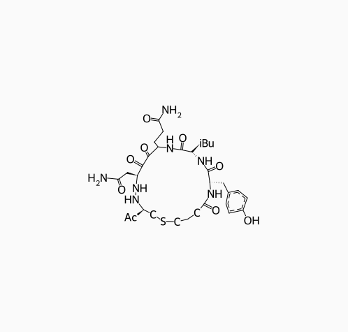 CC[C@H](C)[C@@H]1NC(=O)[C@H](Cc2ccc(O)cc2)NC(=O)CCCSC[C@@H](C(C)=O)NN[C@@H](CC(N)=O)C(=O)C(=O)C(CCC(N)=O)NC1=O